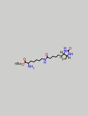 CCCCOC(=O)C(N)CCCCCNC(=O)CCCC[C@@H]1SC[C@@H]2NC(=O)N[C@@H]21